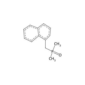 CP(C)(=O)Cc1cccc2ccccc12